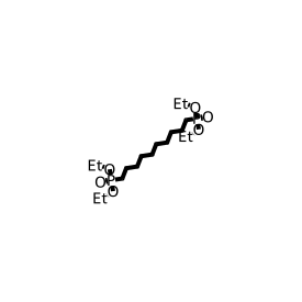 CCOP(=O)(CCCCCCCCCCP(=O)(OCC)OCC)OCC